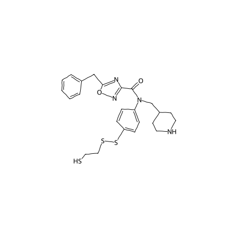 O=C(c1noc(Cc2ccccc2)n1)N(CC1CCNCC1)c1ccc(SSCCS)cc1